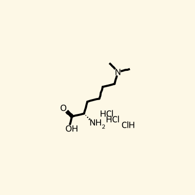 CN(C)CCCC[C@H](N)C(=O)O.Cl.Cl.Cl